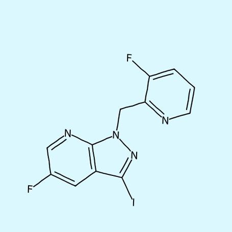 Fc1cnc2c(c1)c(I)nn2Cc1ncccc1F